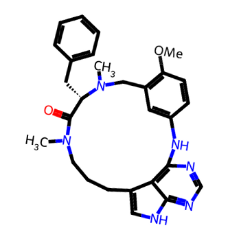 COc1ccc2cc1CN(C)[C@@H](Cc1ccccc1)C(=O)N(C)CCCc1c[nH]c3ncnc(c13)N2